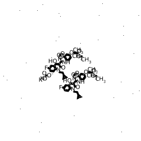 CCOC(=O)C(C)(C)Oc1ccc2c(c1)S(=O)(=O)N=C(c1c(O)c3cc(F)ccc3n(CCC3CC3)c1=O)N2.CCOC(=O)C(C)(C)Oc1ccc2c(c1)S(=O)(=O)N=C(c1c(O)c3cc(F)ccc3n(CCC3CC3)c1=O)N2.O=C([O-])[O-].[K+].[K+]